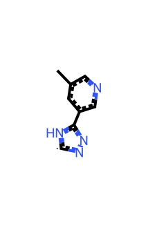 Cc1cncc(-c2nn[c][nH]2)c1